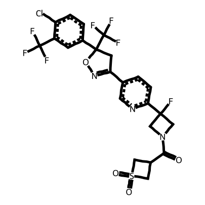 O=C(C1CS(=O)(=O)C1)N1CC(F)(c2ccc(C3=NOC(c4ccc(Cl)c(C(F)(F)F)c4)(C(F)(F)F)C3)cn2)C1